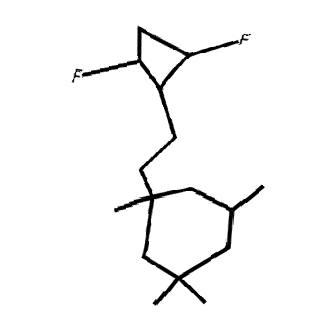 CC1CC(C)(C)CC(C)(CCC2C(F)CC2F)C1